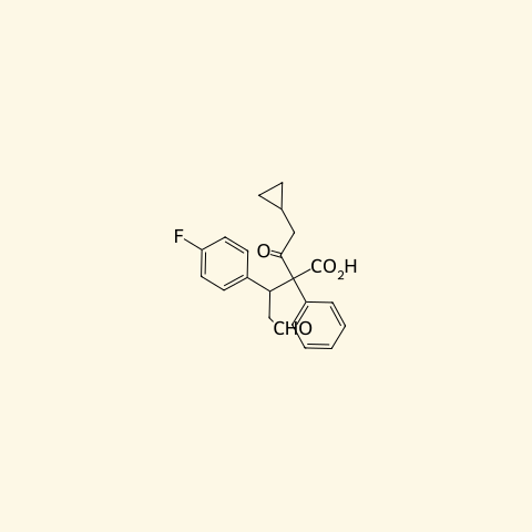 O=CCC(c1ccc(F)cc1)C(C(=O)O)(C(=O)CC1CC1)c1ccccc1